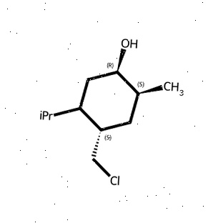 CC(C)C1C[C@@H](O)[C@@H](C)C[C@@H]1CCl